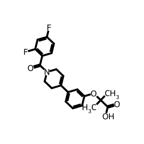 CC(C)(Oc1cccc(C2=CCN(C(=O)c3ccc(F)cc3F)CC2)c1)C(=O)O